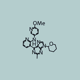 COc1ccc(Nc2ncccc2-c2nc(C)nc3c2ncn3C2CCCCO2)cn1